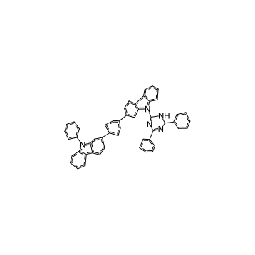 c1ccc(C2=NC(c3ccccc3)NC(n3c4ccccc4c4ccc(-c5ccc(-c6ccc7c8ccccc8n(-c8ccccc8)c7c6)cc5)cc43)=N2)cc1